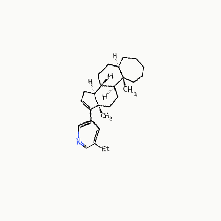 CCc1cncc(C2=CC[C@H]3[C@@H]4CC[C@H]5CCCCC[C@]5(C)[C@H]4CC[C@]23C)c1